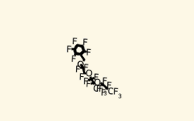 Fc1c(F)c(F)c(COC(F)(F)C(F)OC(F)(F)C(F)(OC(F)(F)C(F)(F)C(F)(F)F)C(F)(F)F)c(F)c1F